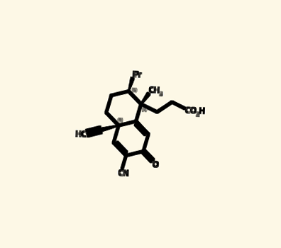 C#C[C@]12C=C(C#N)C(=O)C=C1[C@@](C)(CCC(=O)O)[C@H](C(C)C)CC2